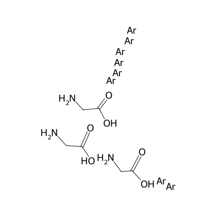 NCC(=O)O.NCC(=O)O.NCC(=O)O.[Ar].[Ar].[Ar].[Ar].[Ar].[Ar].[Ar].[Ar]